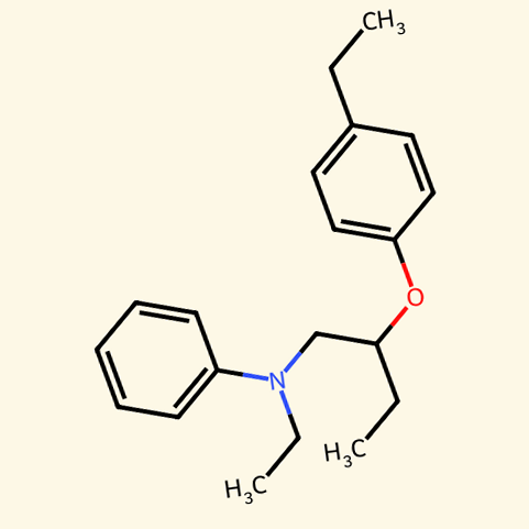 CCc1ccc(OC(CC)CN(CC)c2ccccc2)cc1